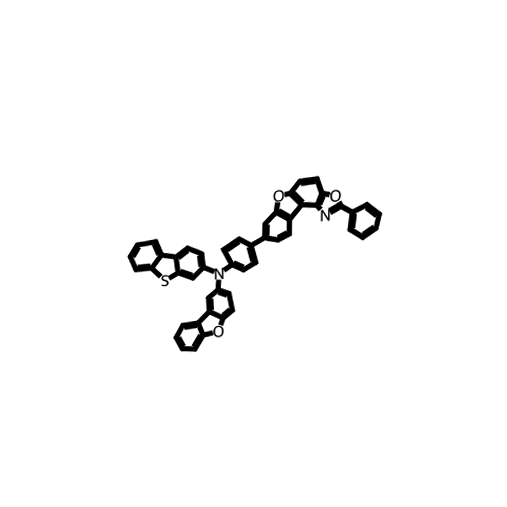 c1ccc(-c2nc3c(ccc4oc5cc(-c6ccc(N(c7ccc8c(c7)sc7ccccc78)c7ccc8oc9ccccc9c8c7)cc6)ccc5c43)o2)cc1